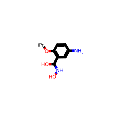 CC(C)Oc1ccc(N)cc1C(O)NO